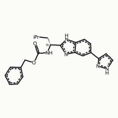 CC(C)C[C@@H](NC(=O)OCc1ccccc1)c1nc2cc(-c3cc[nH]n3)ccc2[nH]1